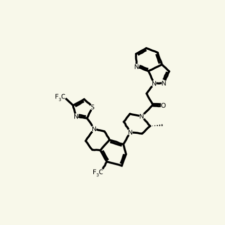 C[C@@H]1CN(c2ccc(C(F)(F)F)c3c2CN(c2nc(C(F)(F)F)cs2)CC3)CCN1C(=O)Cn1ncc2cccnc21